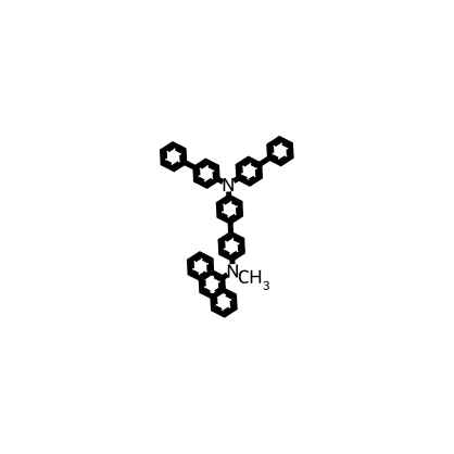 CN(c1ccc(-c2ccc(N(c3ccc(-c4ccccc4)cc3)c3ccc(-c4ccccc4)cc3)cc2)cc1)c1c2ccccc2cc2ccccc12